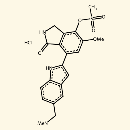 CNCc1ccc2[nH]c(-c3cc(OC)c(OS(C)(=O)=O)c4c3C(=O)NC4)cc2c1.Cl